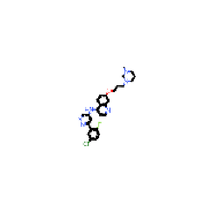 CN1CCCN(CCCOc2ccc3c(Nc4cnnc(-c5cc(Cl)ccc5F)c4)ccnc3c2)C1